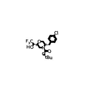 CC(C)(C)OC(=O)N1C[C@H](C(O)C(F)(F)F)OC[C@@H]1Cc1ccc(Cl)cc1